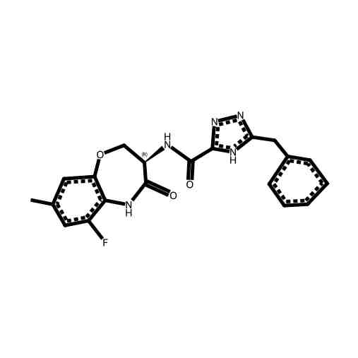 Cc1cc(F)c2c(c1)OC[C@@H](NC(=O)c1nnc(Cc3ccccc3)[nH]1)C(=O)N2